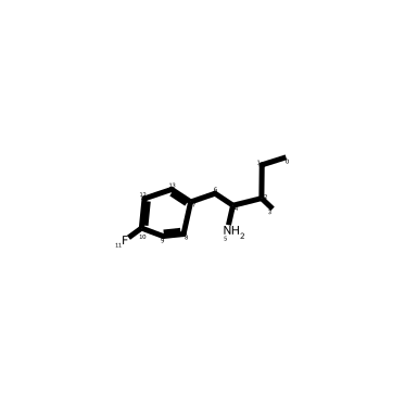 CCC(C)C(N)Cc1ccc(F)cc1